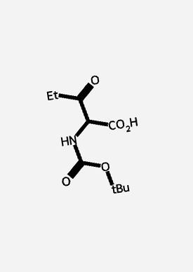 CCC(=O)C(NC(=O)OC(C)(C)C)C(=O)O